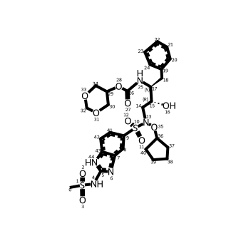 CS(=O)(=O)Nc1nc2cc(S(=O)(=O)N(C[C@@H](O)[C@H](Cc3ccccc3)NC(=O)OC3COCOC3)OC3CCCC3)ccc2[nH]1